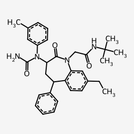 CCc1ccc2c(c1)N(CC(=O)NC(C)(C)C)C(=O)C(N(C(N)=O)c1cccc(C)c1)CC2c1ccccc1